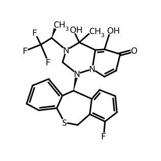 C[C@@H](N1CN([C@@H]2c3ccccc3SCc3c(F)cccc32)n2ccc(=O)c(O)c2C1(C)O)C(F)(F)F